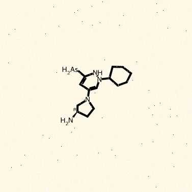 N[C@@H]1CCN(C2=CN(C3CCCCC3)NC([AsH2])=C2)C1